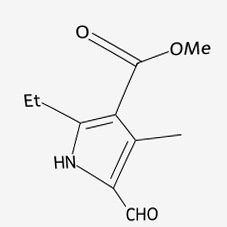 CCc1[nH]c(C=O)c(C)c1C(=O)OC